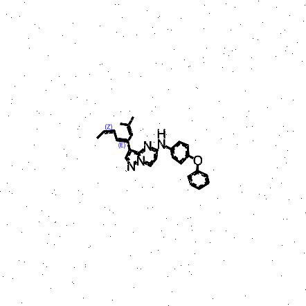 C/C=C\C=C(/C=C(C)C)c1cnn2ccc(Nc3ccc(Oc4ccccc4)cc3)nc12